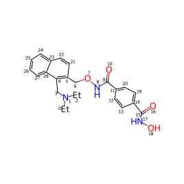 CCN(CC)Cc1c(CONC(=O)c2ccc(C(=O)NO)cc2)ccc2ccccc12